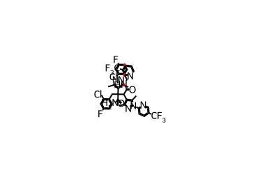 Cc1nn(-c2ccc(C(F)(F)F)cn2)c(C)c1C(C(=O)NCc1ccc(F)cc1Cl)C(Cc1ccc(F)cc1Cl)(C(N)=O)c1c(C)nn(-c2ncccc2C(F)(F)F)c1C